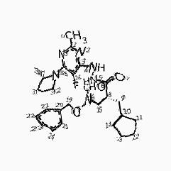 Cc1nc(NNC(=O)[C@H](CC2CCCC2)CN(C=O)OCc2ccccc2)c(F)c(N2CCC2)n1